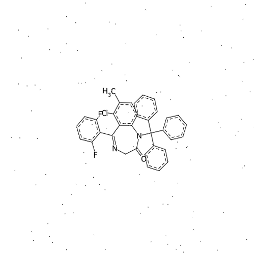 Cc1ccc2c(c1Cl)C(c1c(F)cccc1F)=NCC(=O)N2C(c1ccccc1)(c1ccccc1)c1ccccc1